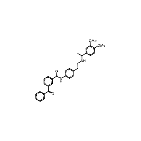 COc1ccc(C(C)NCCc2ccc(NC(=O)c3cccc(C(=O)c4ccccc4)c3)cc2)cc1OC